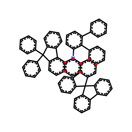 c1ccc(-c2ccccc2-c2c(-c3ccccc3)cccc2N(c2cccc3c2-c2ccccc2C3(c2ccccc2)c2ccccc2)c2cccc3c2-c2ccccc2C32c3ccccc3-c3ccccc32)cc1